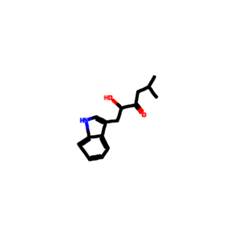 CC(C)CC(=O)C(O)Cc1c[nH]c2ccccc12